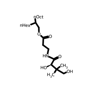 CCCCCCCCC(CCCCCC)COC(=O)CCNC(=O)[C@H](O)C(C)(C)CO